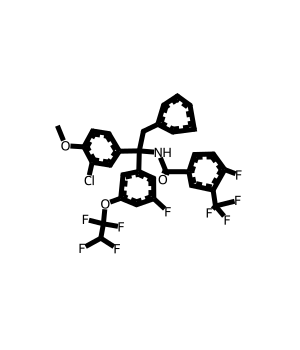 COc1ccc(C(Cc2ccccc2)(NC(=O)c2ccc(F)c(C(F)(F)F)c2)c2cc(F)cc(OC(F)(F)C(F)F)c2)cc1Cl